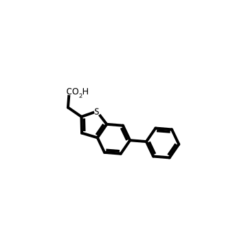 O=C(O)Cc1cc2ccc(-c3ccccc3)cc2s1